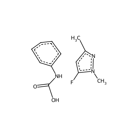 Cc1cc(F)n(C)n1.O=C(O)Nc1ccccc1